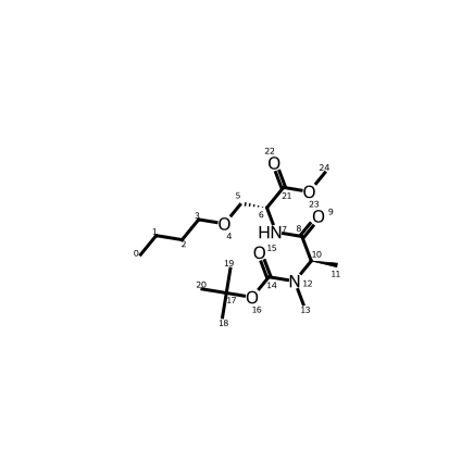 CCCCOC[C@@H](NC(=O)[C@@H](C)N(C)C(=O)OC(C)(C)C)C(=O)OC